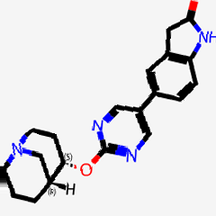 O=C1Cc2cc(-c3cnc(O[C@H]4CCN5CCC[C@@H]4C5)nc3)ccc2N1